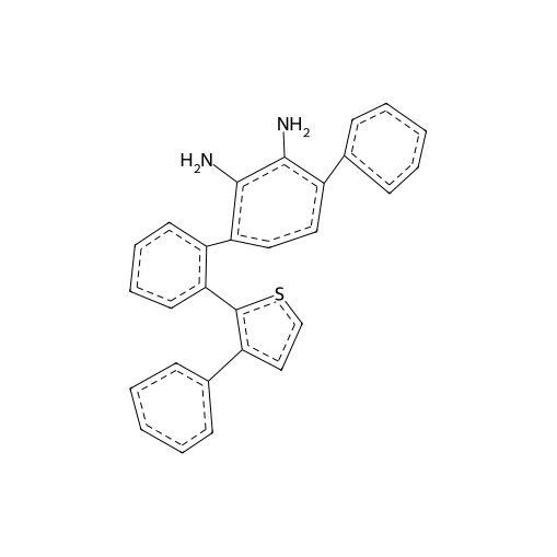 Nc1c(-c2ccccc2)ccc(-c2ccccc2-c2sccc2-c2ccccc2)c1N